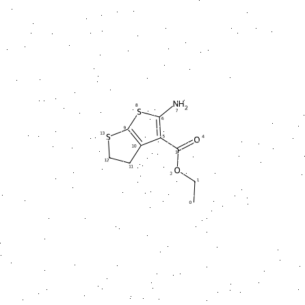 CCOC(=O)c1c(N)sc2c1CCS2